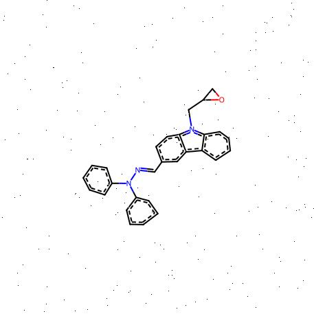 C(=NN(c1ccccc1)c1ccccc1)c1ccc2c(c1)c1ccccc1n2CC1CO1